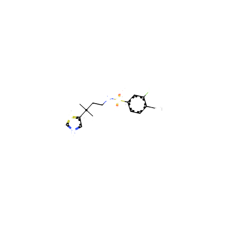 CC(C)c1ccc(S(=O)(=O)NCCC(C)(C)c2cncs2)cc1F